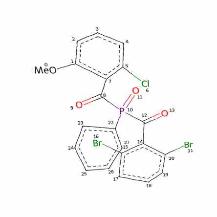 COc1cccc(Cl)c1C(=O)P(=O)(C(=O)c1c(Br)cccc1Br)c1ccccc1